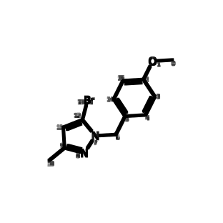 COc1ccc(Cn2nc(C)cc2Br)cc1